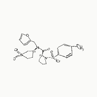 Cc1ccc(S(=O)(=O)N2CCC[C@H]2C(=O)N(Cc2ccco2)[C@H]2CCS(=O)(=O)C2)cc1